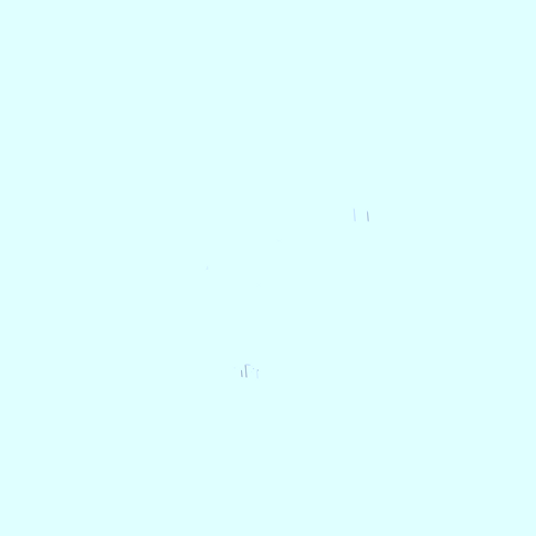 [CH2]C/C=C/C(C)CCCC